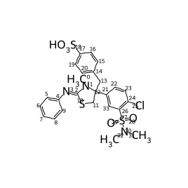 CN1C(=Nc2ccccc2)SCC1(Cc1ccc(S(=O)(=O)O)cc1)c1ccc(Cl)c(S(=O)(=O)N(C)C)c1